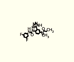 C=CC(=O)N(C)c1ccc(NC(=O)Nc2cc(F)cc(F)c2)c(-c2nnn[nH]2)c1